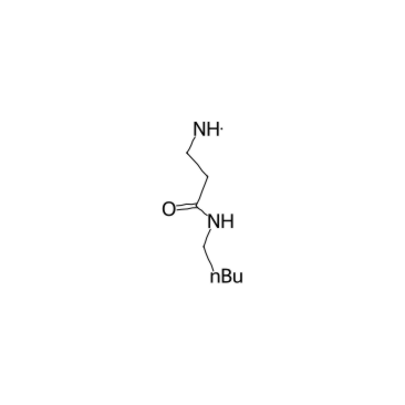 CCCCCNC(=O)CC[NH]